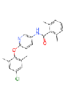 Cc1cc(Cl)cc(C)c1Oc1ccc(NC(=O)c2c(C)cccc2C)cn1